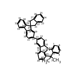 CC1(C)c2ccccc2-n2c3ccc(-c4ccc5c(c4)C4(Cc6ccccc6C4)c4ccccc4-5)cc3c3cccc1c32